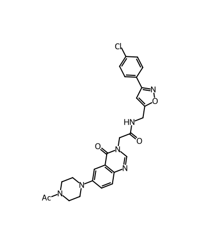 CC(=O)N1CCN(c2ccc3ncn(CC(=O)NCc4cc(-c5ccc(Cl)cc5)no4)c(=O)c3c2)CC1